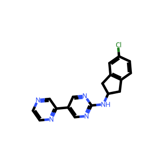 Clc1ccc2c(c1)CC(Nc1ncc(-c3cnccn3)cn1)C2